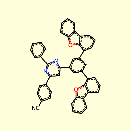 N#Cc1ccc(-c2cc(-c3cc(-c4cccc5c4oc4ccccc45)cc(-c4cccc5c4oc4ccccc45)c3)nc(-c3ccccc3)n2)cc1